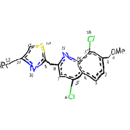 COc1ccc2c(Cl)cc(-c3nc(C(C)C)cs3)nc2c1Cl